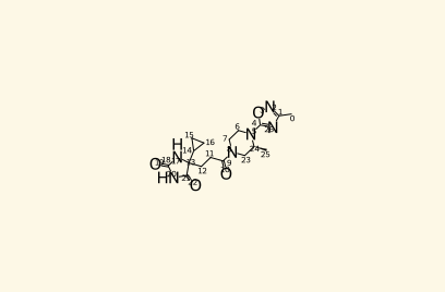 Cc1noc(N2CCN(C(=O)CCC3(C4CC4)NC(=O)NC3=O)C[C@@H]2C)n1